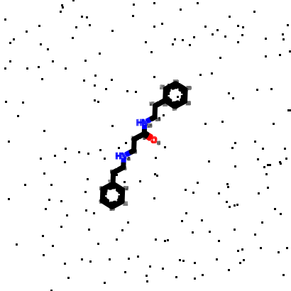 O=C(CCNCCc1ccccc1)NCCc1ccccc1